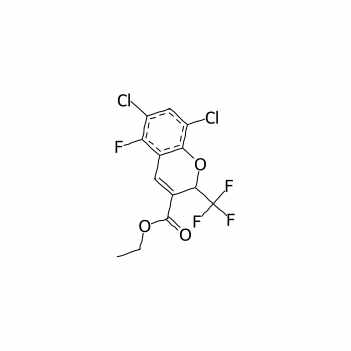 CCOC(=O)C1=Cc2c(F)c(Cl)cc(Cl)c2OC1C(F)(F)F